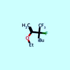 C=C(OCC)C(F)(C(C)CC)C(F)(F)F